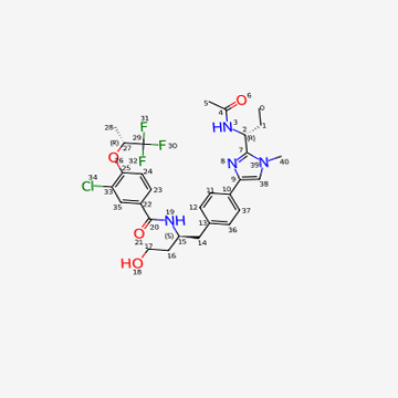 CC[C@@H](NC(C)=O)c1nc(-c2ccc(C[C@@H](CCO)NC(=O)c3ccc(O[C@H](C)C(F)(F)F)c(Cl)c3)cc2)cn1C